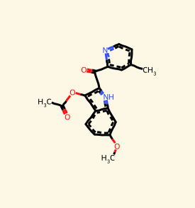 COc1ccc2c(OC(C)=O)c(C(=O)c3cc(C)ccn3)[nH]c2c1